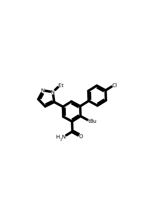 CCn1nccc1-c1cc(C(N)=O)c(C(C)(C)C)c(-c2ccc(Cl)cc2)c1